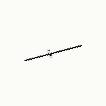 CCCCCCCCCCCCCCCCCCCCCCCC(=O)NCCCCCCCCCCCCCCCCCC